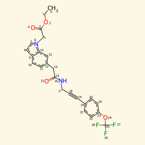 CCOC(=O)Cn1ccc2ccc(CC(=O)NCC#Cc3ccc(OC(F)(F)F)cc3)cc21